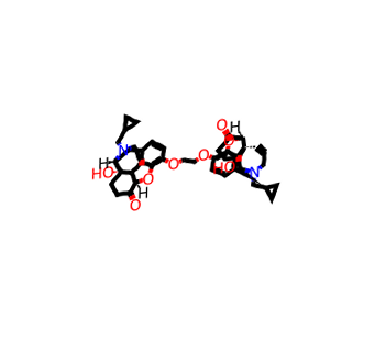 O=C1CC[C@@]2(O)C3Cc4ccc(OCCOC5=C6O[C@H]7C(=O)CC[C@@]8(O)[C@H]9CC(C=C5)C6[C@@]78CCN9CC5CC5)c5c4[C@@]2(C#CCN3CC2CC2)[C@H]1O5